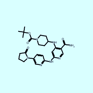 CC(C)(C)OC(=O)N1CCC(Nc2cc(Nc3ccc(N4CCCC4=O)cn3)ncc2C(N)=O)CC1